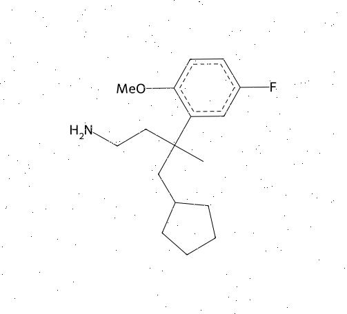 COc1ccc(F)cc1C(C)(CCN)CC1CCCC1